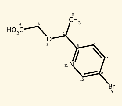 CC(OCC(=O)O)c1ccc(Br)cn1